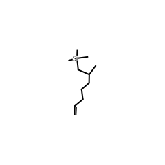 C=CCCCC(C)C[Si](C)(C)C